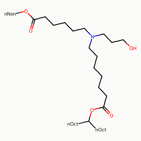 CCCCCCCCCOC(=O)CCCCCN(CCCO)CCCCCCC(=O)OC(CCCCCCCC)CCCCCCCC